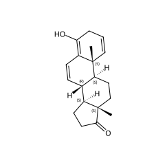 C[C@]12C=CCC(O)=C1C=C[C@@H]1[C@@H]2CC[C@]2(C)C(=O)CC[C@@H]12